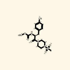 CCCCOC(=O)N[C@@H](Cc1ccc(C#N)cc1)C(=O)N1CCN(S(C)(=O)=O)CC1